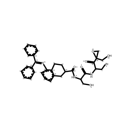 CC(C)CC(NC(=O)C(CO)NC(=O)C1CCc2c(cccc2N=C(c2ccccc2)c2ccccc2)C1)C(=O)C1(CO)CO1